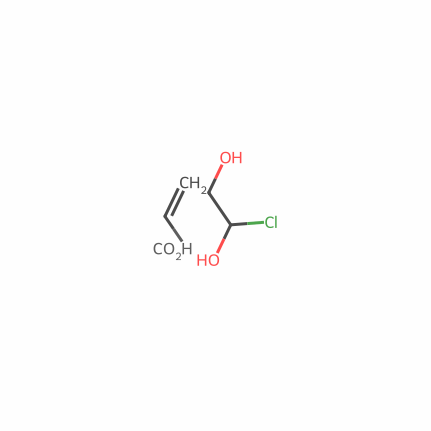 C=CC(=O)O.OCC(O)Cl